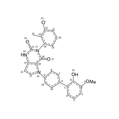 COc1cccc(-c2ccc(-n3ccc4[nH]c(=O)n(-c5cccc(Cl)c5C)c(=O)c43)cc2)c1O